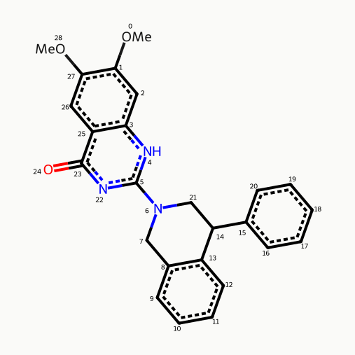 COc1cc2[nH]c(N3Cc4ccccc4C(c4ccccc4)C3)nc(=O)c2cc1OC